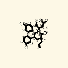 C=CC[C@@]1(C)CC(c2cccc(Cl)c2)[C@@H](c2ccc(Cl)cc2)N(C(CC)[C@@H](C)C(C)=O)C1=O